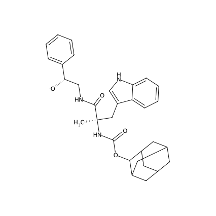 C[C@](Cc1c[nH]c2ccccc12)(NC(=O)OC1C2CC3CC(C2)CC1C3)C(=O)NC[C@H]([O])c1ccccc1